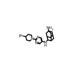 CC(C)C1CCN(c2ncc(NC3C4CC5CC3CC(N)(C5)C4)cn2)CC1